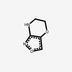 c1onc2c1OCCN2